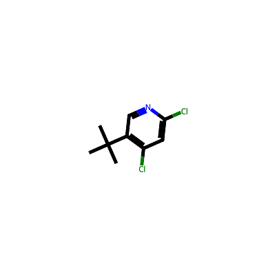 CC(C)(C)c1cnc(Cl)cc1Cl